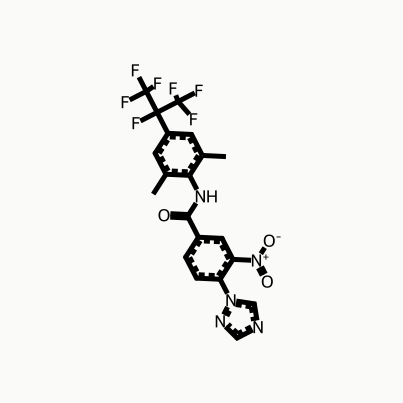 Cc1cc(C(F)(C(F)(F)F)C(F)(F)F)cc(C)c1NC(=O)c1ccc(-n2cncn2)c([N+](=O)[O-])c1